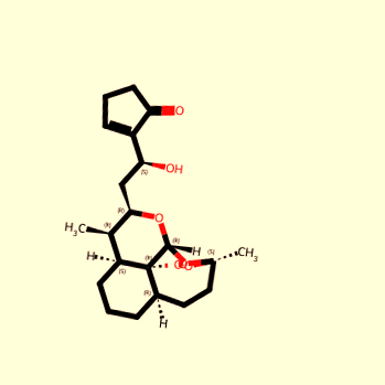 C[C@H]1[C@@H](C[C@H](O)C2=CCCC2=O)O[C@@H]2O[C@]3(C)CC[C@H]4CCC[C@@H]1[C@]42OO3